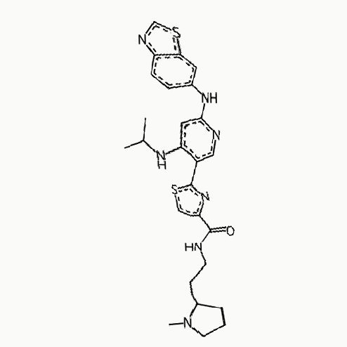 CC(C)Nc1cc(Nc2ccc3ncsc3c2)ncc1-c1nc(C(=O)NCCC2CCCN2C)cs1